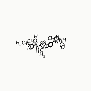 CCN(C)c1cc([C@@H](CO)NC(=O)[C@@H](C)N2Cc3ccc(-c4nc(NC5CCOCC5)ncc4Cl)cc3C2=O)ccn1